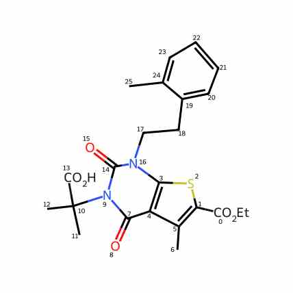 CCOC(=O)c1sc2c(c1C)c(=O)n(C(C)(C)C(=O)O)c(=O)n2CCc1ccccc1C